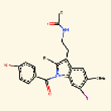 CCC(=O)NCCc1c(CC)n(C(=O)c2ccc(Br)cc2)c2cc(I)c(OC)cc12